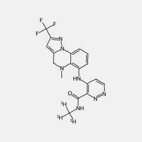 [2H]C([2H])([2H])NC(=O)c1nnccc1Nc1cccc2c1N(C)Cc1cc(C(F)(F)F)nn1-2